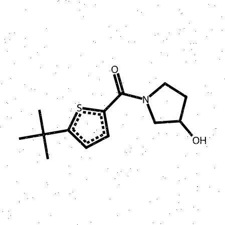 CC(C)(C)c1ccc(C(=O)N2CCC(O)C2)s1